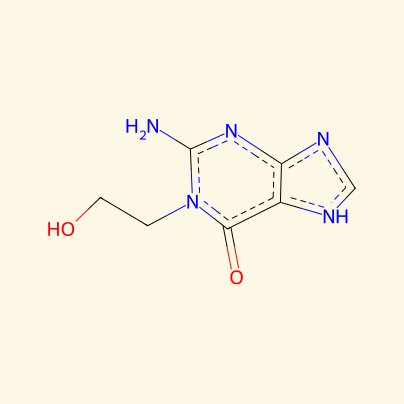 Nc1nc2nc[nH]c2c(=O)n1CCO